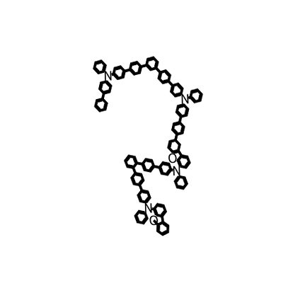 C1=CC(c2ccc(-c3ccc(N(c4ccccc4)c4ccc(-c5ccc(-c6cccc(-c7ccc(-c8ccc(N(c9ccccc9)c9ccc(-c%10ccccc%10)cc9)cc8)cc7)c6)cc5)cc4)cc3)cc2)Cc2c1oc1c(N(c3ccccc3)c3ccc(-c4ccc(-c5ccccc5-c5ccc(-c6ccc(N(c7ccccc7)c7cccc8c7oc7ccccc78)cc6)cc5)cc4)cc3)cccc21